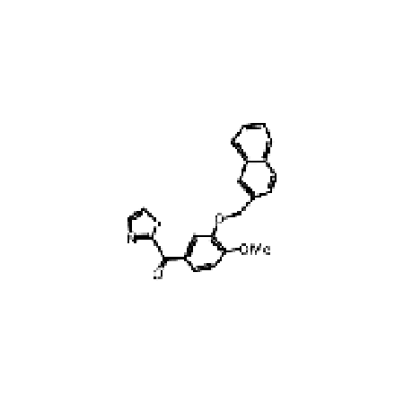 COc1ccc(C(=O)c2nccs2)cc1OCc1ccc2ccccc2c1